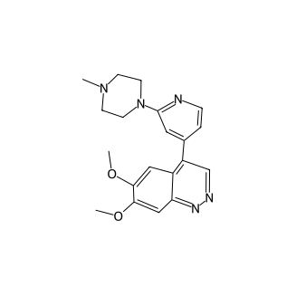 COc1cc2nncc(-c3ccnc(N4CCN(C)CC4)c3)c2cc1OC